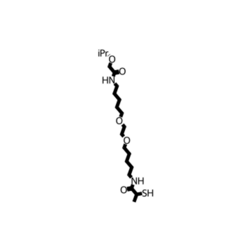 CC(C)OCC(=O)NCCCCCOCCOCCCCCNC(=O)C(C)S